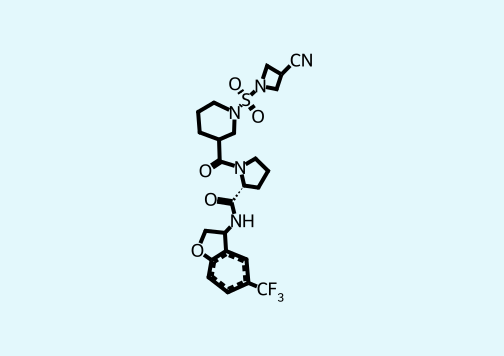 N#CC1CN(S(=O)(=O)N2CCCC(C(=O)N3CCC[C@@H]3C(=O)NC3COc4ccc(C(F)(F)F)cc43)C2)C1